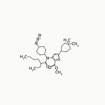 CCCCC(CC)C(=O)N(c1cc(C2CCC(C)(C)CC2)sc1C(=O)OC)C1CCC(N=[N+]=[N-])CC1